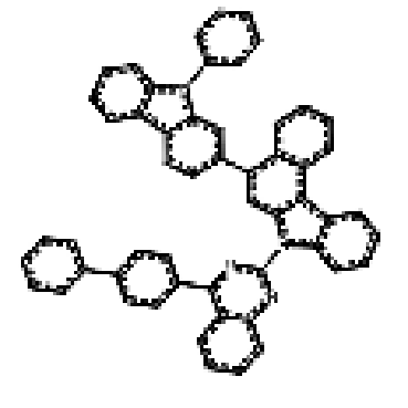 c1ccc(-c2ccc(-c3nc(-n4c5ccccc5c5c6ccccc6c(-c6ccc7c8ccccc8n(-c8ccccc8)c7c6)cc54)nc4ccccc34)cc2)cc1